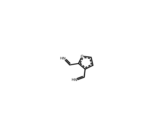 N=Cc1ccoc1C=N